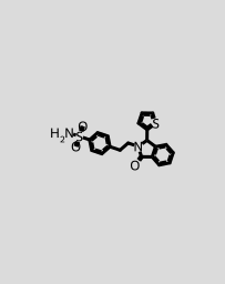 NS(=O)(=O)c1ccc(CCN2C(=O)c3ccccc3C2c2cccs2)cc1